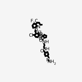 Cc1cc(C(F)(F)F)c2cccc(OCc3c(Cl)ccc(S(=O)(=O)N4CCC[C@H]4C(=O)NCCCNC(=O)c4ccc(C=NN)cc4)c3Cl)c2n1